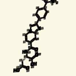 NC(=S)c1ccc(-c2cn3ccc(C(=O)N[C@@H](CC(=O)O)C(=O)O)cc3n2)cc1